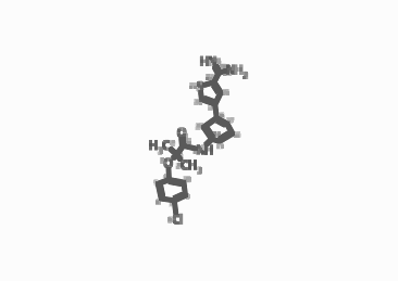 CC(C)(Oc1ccc(Cl)cc1)C(=O)Nc1cccc(-c2csc(C(=N)N)c2)c1